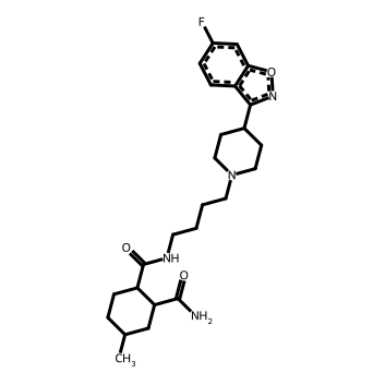 CC1CCC(C(=O)NCCCCN2CCC(c3noc4cc(F)ccc34)CC2)C(C(N)=O)C1